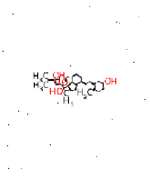 C=C1CC[C@H](O)C/C1=C/C=C1CCC[C@@]2(C)C1CC[C@]2(O)[C@@](C)(O)CCC(O)C(C)C